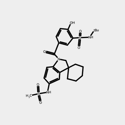 CC(C)(C)NS(=O)(=O)c1cc(C(=O)N2CC3(CCCCC3)c3cc(NS(C)(=O)=O)ccc32)ccc1O